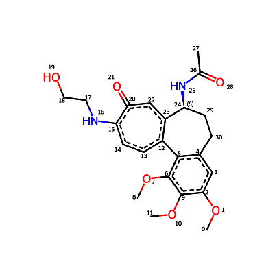 COc1cc2c(c(OC)c1OC)-c1ccc(NCCO)c(=O)cc1[C@@H](NC(C)=O)CC2